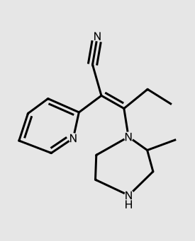 CCC(=C(C#N)c1ccccn1)N1CCNCC1C